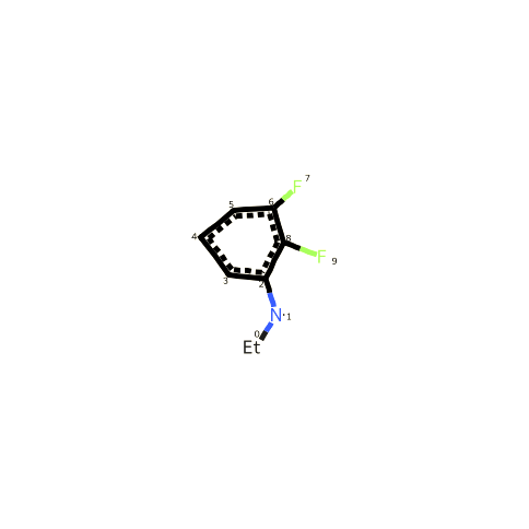 CC[N]c1cccc(F)c1F